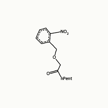 CCCCCC(=O)COCc1ccccc1[N+](=O)[O-]